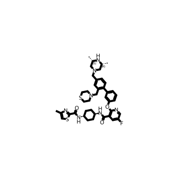 Cc1csc(C(=O)N[C@H]2CC[C@H](NC(=O)c3cc(F)cnc3Oc3cccc(-c4ccc(CN5C[C@@H](C)N[C@@H](C)C5)cc4CN4CCSCC4)c3)CC2)n1